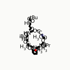 CCC(C)C1NC(=O)CN(C)C(=O)[C@@H](Cc2ccccc2)N(C)C(=O)[C@H](C)NC(=O)[C@@H](CC(C)C)OC(=O)/C(C)=C/CCCOC(=O)[C@H](CCCCNC(=O)OC(C)(C)C)NC1=O